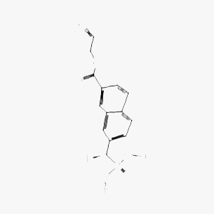 C=CCOC(=O)c1ccc2ccc([C@H](F)P(=O)(OCC)OCC)cc2c1